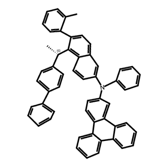 Cc1ccccc1-c1ccc2cc(N(c3ccccc3)c3ccc4c5ccccc5c5ccccc5c4c3)ccc2c1[C@@H](C)c1ccc(-c2ccccc2)cc1